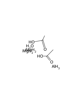 CC(=O)O.CC(=O)O.O.[AlH3].[MgH2].[MgH2]